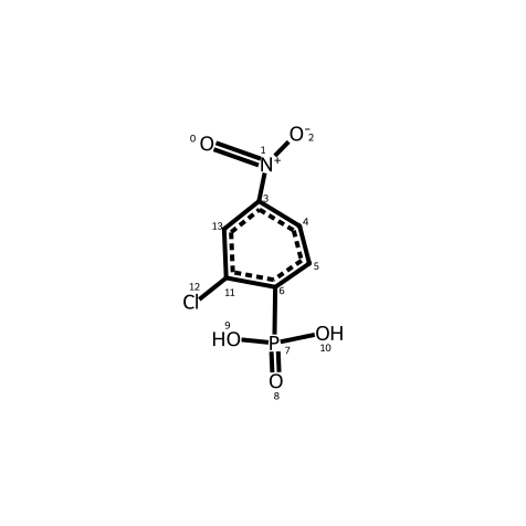 O=[N+]([O-])c1ccc(P(=O)(O)O)c(Cl)c1